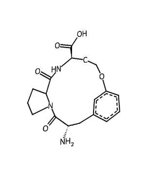 N[C@H]1Cc2cccc(c2)OCC[C@H](C(=O)O)NC(=O)C2CCCN2C1=O